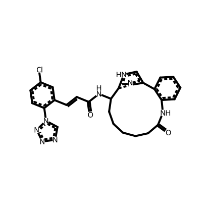 O=C(C=Cc1cc(Cl)ccc1-n1cnnn1)NC1CCCCCC(=O)Nc2ccccc2-c2c[nH]c1n2